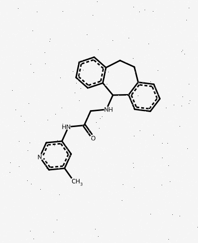 Cc1cncc(NC(=O)CNC2c3ccccc3CCc3ccccc32)c1